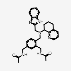 CC(=O)NCc1ccc(CN(Cc2nc3ccccc3[nH]2)C2CCCc3cccnc32)c(CNC(C)=O)c1